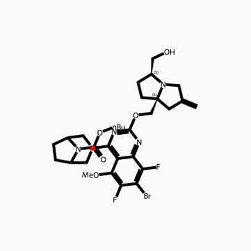 C=C1CN2[C@H](CO)CC[C@@]2(COc2nc(N3CC4CCC(C3)N4C(=O)OCCCC)c3c(OC)c(F)c(Br)c(F)c3n2)C1